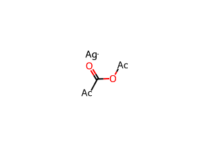 CC(=O)OC(=O)C(C)=O.[Ag]